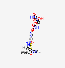 COc1cc(C)c(Sc2cnc(NC(=O)c3ccc(N4CCN(CCOCCNC(=O)COc5cccc6c5C(=O)N(C5CCC(=O)NC5=O)C6O)CC4)cc3)s2)cc1C(=O)N1CCN(C(C)=O)CC1